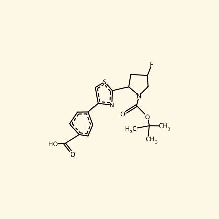 CC(C)(C)OC(=O)N1CC(F)CC1c1nc(-c2ccc(C(=O)O)cc2)cs1